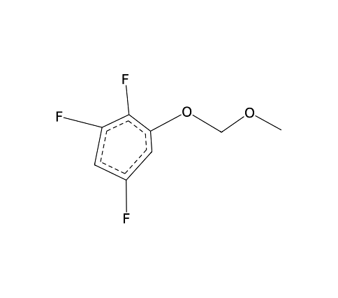 COCOc1cc(F)cc(F)c1F